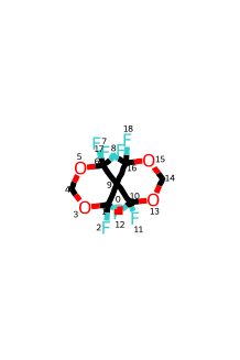 FC1(F)OCOC(F)(F)C12C(F)(F)OCOC2(F)F